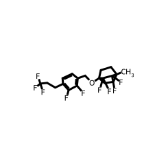 CC12CCC(OCc3ccc(CCC(F)(F)F)c(F)c3F)(CC1)C(F)(F)C2(F)F